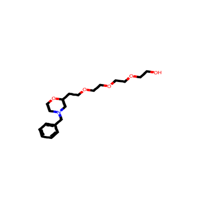 OCCOCCOCCOCCC1CN(Cc2ccccc2)CCO1